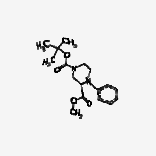 COC(=O)[C@H]1CN(C(=O)OC(C)(C)C)CCN1c1ccccc1